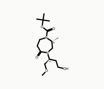 COC[C@H](CCO)N1C[C@@H](C)N(C(=O)OC(C)(C)C)CCC1=O